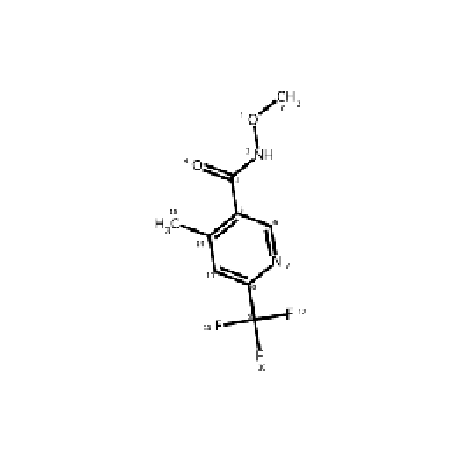 CONC(=O)c1cnc(C(F)(F)F)cc1C